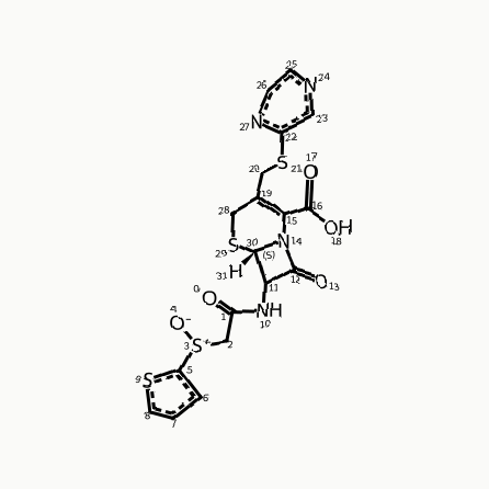 O=C(C[S+]([O-])c1cccs1)NC1C(=O)N2C(C(=O)O)=C(CSc3cnccn3)CS[C@@H]12